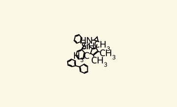 CC1=C(C)C(C)[C]([Zr]([NH]C2CC2)[SiH](c2ccccc2)c2ccccc2)=C1C.c1ccc(-c2ccccc2)cc1